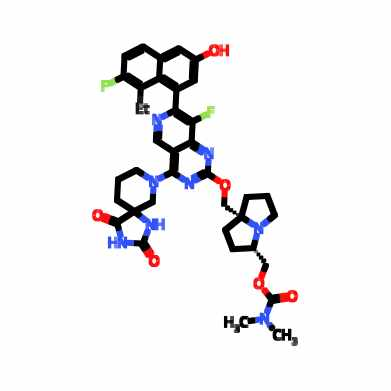 CCc1c(F)ccc2cc(O)cc(-c3ncc4c(N5CCCC6(C5)NC(=O)NC6=O)nc(OC[C@]56CCCN5[C@H](COC(=O)N(C)C)CC6)nc4c3F)c12